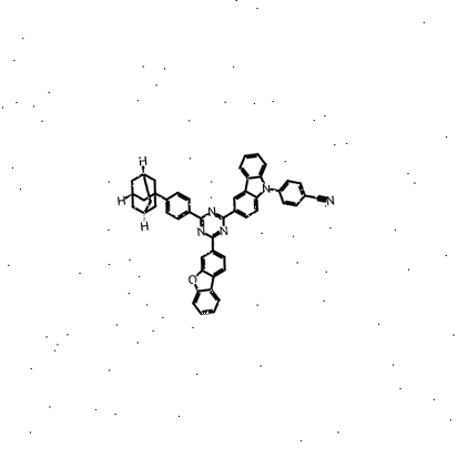 N#Cc1ccc(-n2c3ccccc3c3cc(-c4nc(-c5ccc(C67C[C@H]8C[C@H](C6)C[C@@H](C7)C8)cc5)nc(-c5ccc6c(c5)oc5ccccc56)n4)ccc32)cc1